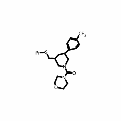 CC(C)SCC1CC(c2ccc(C(F)(F)F)cc2)CN(C(=O)N2CCOCC2)C1